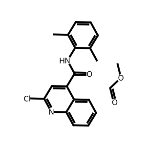 COC=O.Cc1cccc(C)c1NC(=O)c1cc(Cl)nc2ccccc12